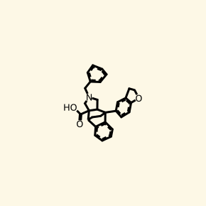 O=C(O)C12CN(Cc3ccccc3)CC1C1(c3ccc4c(c3)CCO4)CCC2c2ccccc21